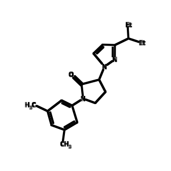 CCC(CC)c1ccn(C2CCN(c3cc(C)cc(C)c3)C2=O)n1